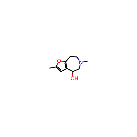 Cc1cc2c(o1)CCN(C)CC2O